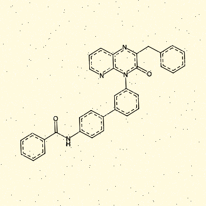 O=C(Nc1ccc(-c2cccc(-n3c(=O)c(Cc4ccccc4)nc4cccnc43)c2)cc1)c1ccccc1